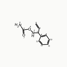 C=CC(NOC(N)=O)c1ccccc1